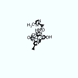 Cc1ccnc(C2C[C@@H]2C(=O)Nc2nccc(N3C[C@@H](O)C[C@@H]3c3cn4cc(C5CC5)cc(N5CC(=O)N(C)C5=O)c4n3)n2)n1